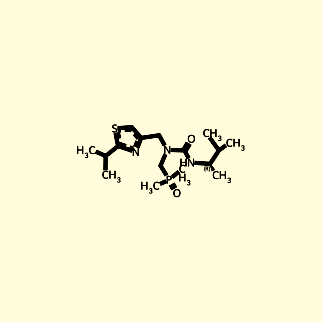 CC(C)c1nc(CN(CP(C)(C)=O)C(=O)N[C@H](C)C(C)C)cs1